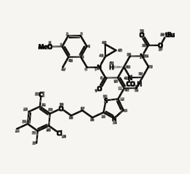 COc1cccc(CN(C(=O)C2=C(c3cnc(CCCOc4c(Cl)cc(C)c(C)c4Cl)s3)CC3CN(C(=O)OC(C)(C)C)C[C@H]2N3C(=O)O)C2CC2)c1C